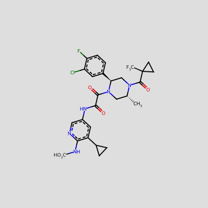 C[C@@H]1CN(C(=O)C(=O)Nc2cnc(NC(=O)O)c(C3CC3)c2)[C@@H](c2ccc(F)c(Cl)c2)CN1C(=O)C1(C(F)(F)F)CC1